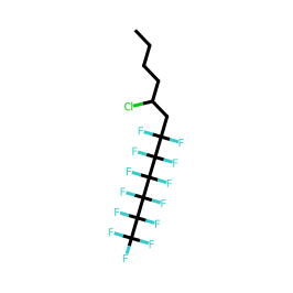 CCCCC(Cl)CC(F)(F)C(F)(F)C(F)(F)C(F)(F)C(F)(F)C(F)(F)F